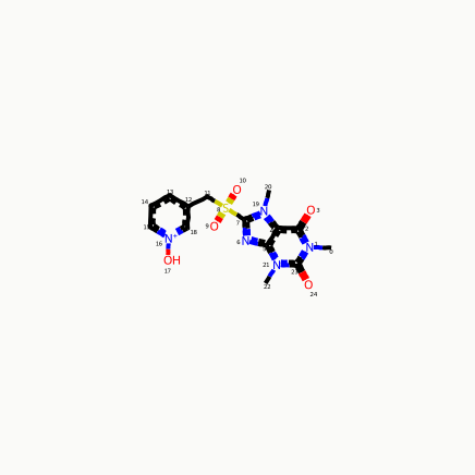 Cn1c(=O)c2c(nc(S(=O)(=O)Cc3ccc[n+](O)c3)n2C)n(C)c1=O